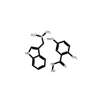 CN(C)Cc1c[nH]c2ccccc12.COc1ccc(C)c(C(=O)NO)c1